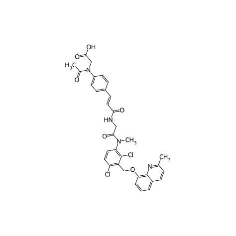 CC(=O)N(CC(=O)O)c1ccc(C=CC(=O)NCC(=O)N(C)c2ccc(Cl)c(COc3cccc4ccc(C)nc34)c2Cl)cc1